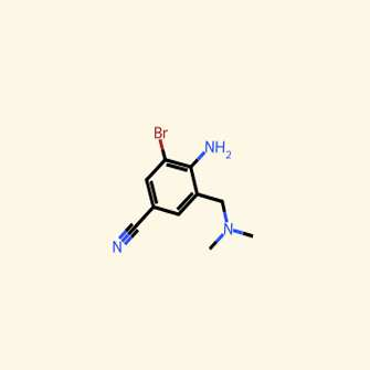 CN(C)Cc1cc(C#N)cc(Br)c1N